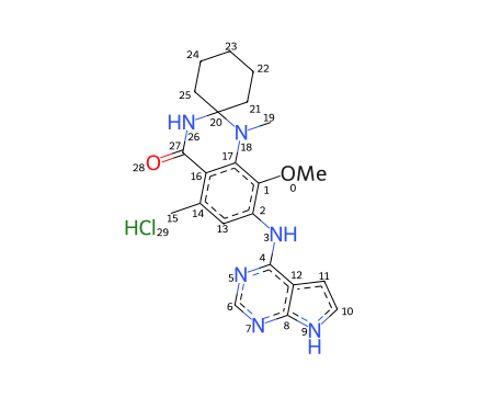 COc1c(Nc2ncnc3[nH]ccc23)cc(C)c2c1N(C)C1(CCCCC1)NC2=O.Cl